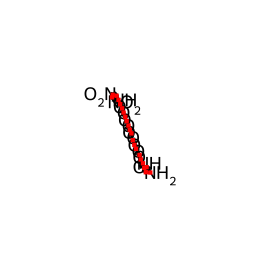 Nc1ccc(C(=O)NCCOCCOCCOCCOCCOCCOCCOCCOCCOCCNc2ccc([N+](=O)[O-])cc2[N+](=O)[O-])cc1